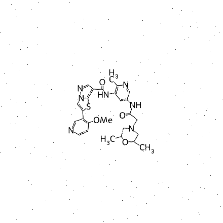 COc1ccncc1-c1cn2ncc(C(=O)Nc3cc(NC(=O)CN4CC(C)OC(C)C4)cnc3C)c2s1